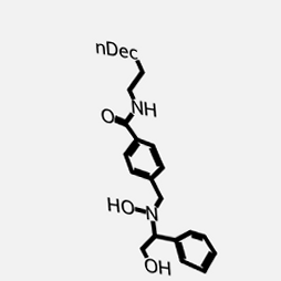 CCCCCCCCCCCCNC(=O)c1ccc(CN(O)C(CO)c2ccccc2)cc1